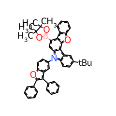 CC(C)(C)c1ccc2c(c1)c1c3oc4ccccc4c3c(B3OC(C)(C)C(C)(C)O3)cc1n2-c1ccc2oc(-c3ccccc3)c(-c3ccccc3)c2c1